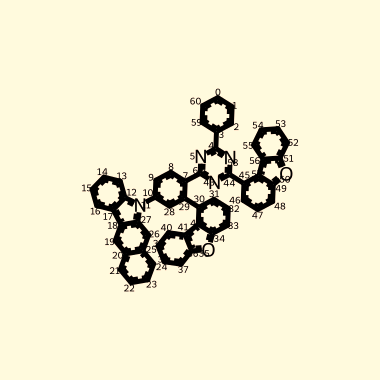 c1ccc(-c2nc(-c3ccc(-n4c5ccccc5c5cc6ccccc6cc54)cc3-c3cccc4oc5ccccc5c34)nc(-c3cccc4oc5ccccc5c34)n2)cc1